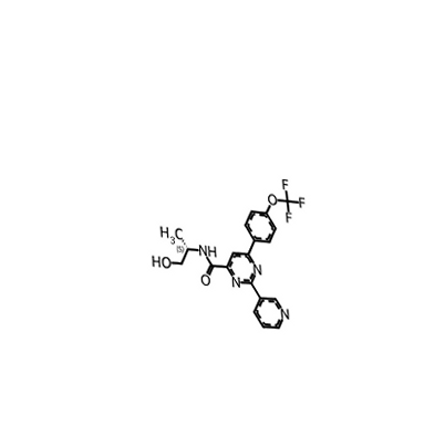 C[C@@H](CO)NC(=O)c1cc(-c2ccc(OC(F)(F)F)cc2)nc(-c2cccnc2)n1